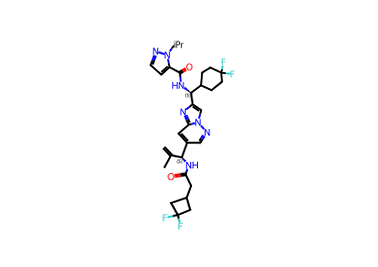 C=C(C)[C@H](NC(=O)CC1CC(F)(F)C1)c1cnn2cc([C@@H](NC(=O)c3ccnn3C(C)C)C3CCC(F)(F)CC3)nc2c1